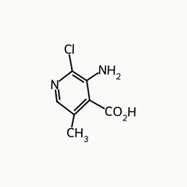 Cc1cnc(Cl)c(N)c1C(=O)O